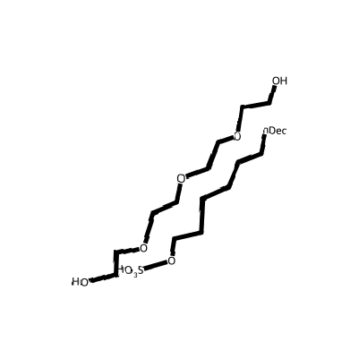 CCCCCCCCCCCCCCCCOS(=O)(=O)O.OCCOCCOCCOCCO